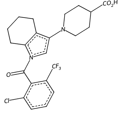 O=C(O)C1CCN(c2cn(C(=O)c3c(Cl)cccc3C(F)(F)F)c3c2CCCC3)CC1